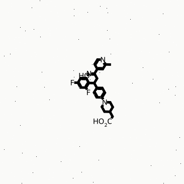 Cc1cc(/C(CC(c2ccc(N3CCC(CC(=O)O)CC3)cc2)c2ccc(F)cc2F)=N/O)ccn1